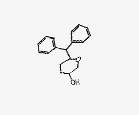 OC1CCC(C(c2ccccc2)c2ccccc2)OC1